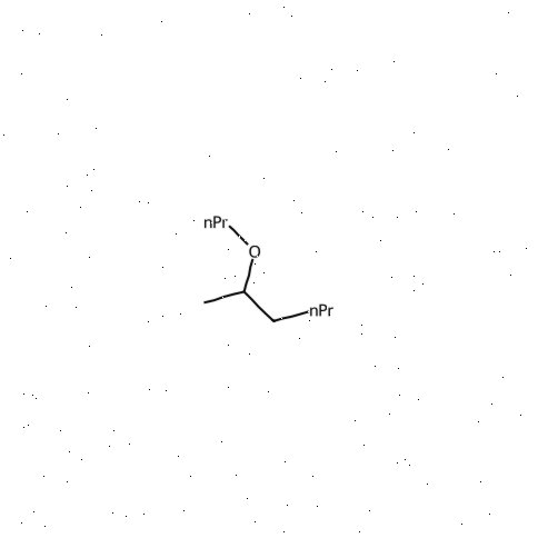 [CH2]CCCC(C)OCCC